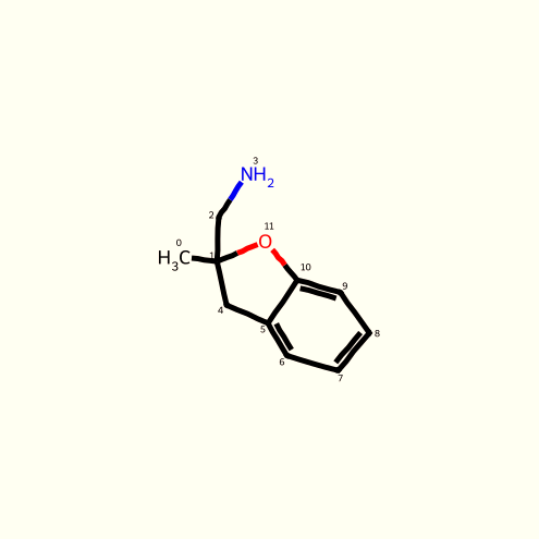 CC1(CN)Cc2ccccc2O1